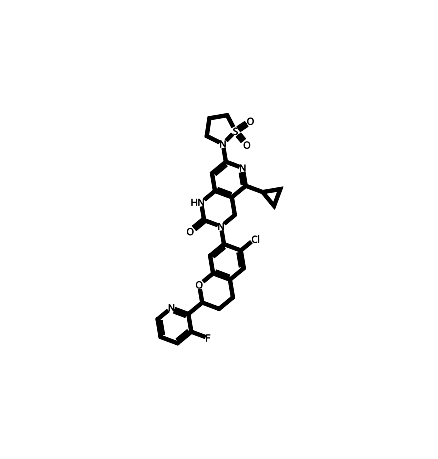 O=C1Nc2cc(N3CCCS3(=O)=O)nc(C3CC3)c2CN1c1cc2c(cc1Cl)CCC(c1ncccc1F)O2